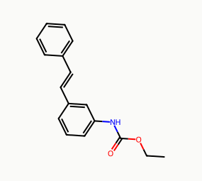 CCOC(=O)Nc1cccc(C=Cc2ccccc2)c1